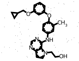 Cc1cc(Nc2ncnc3ccn(CCO)c23)ccc1Oc1cccc(OCC2CC2)c1